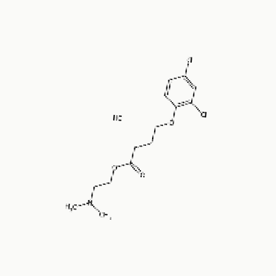 CN(C)CCOC(=O)CCCOc1ccc(Cl)cc1Cl.Cl